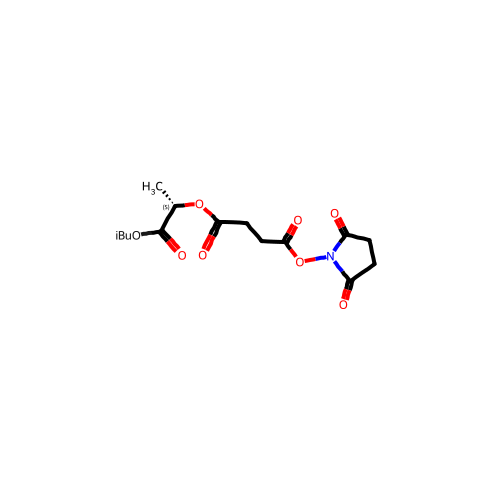 CC(C)COC(=O)[C@H](C)OC(=O)CCC(=O)ON1C(=O)CCC1=O